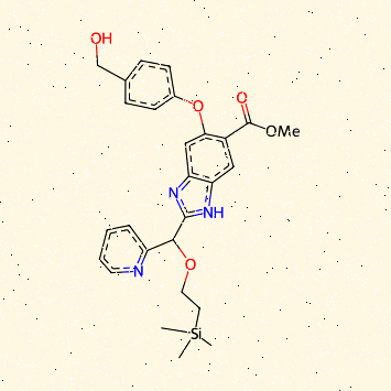 COC(=O)c1cc2[nH]c(C(OCC[Si](C)(C)C)c3ccccn3)nc2cc1Oc1ccc(CO)cc1